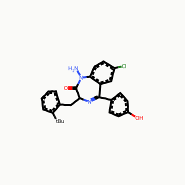 CC(C)(C)c1ccccc1CC1N=C(c2ccc(O)cc2)c2cc(Cl)ccc2N(N)C1=O